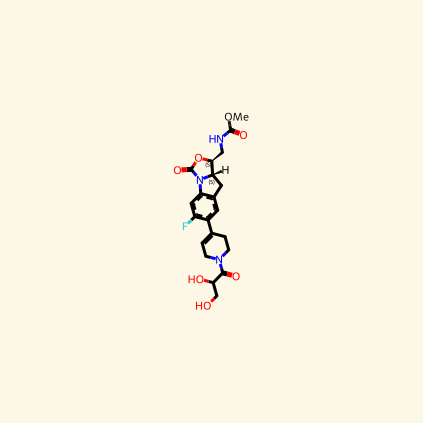 COC(=O)NC[C@@H]1OC(=O)N2c3cc(F)c(C4=CCN(C(=O)C(O)CO)CC4)cc3C[C@@H]12